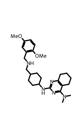 COc1ccc(OC)c(CNCC2CCC(Nc3nc4c(c(N(C)C)n3)CCCC4)CC2)c1